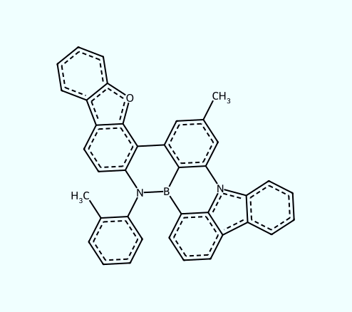 Cc1cc2c3c(c1)-n1c4ccccc4c4cccc(c41)B3N(c1ccccc1C)c1ccc3c(oc4ccccc43)c1-2